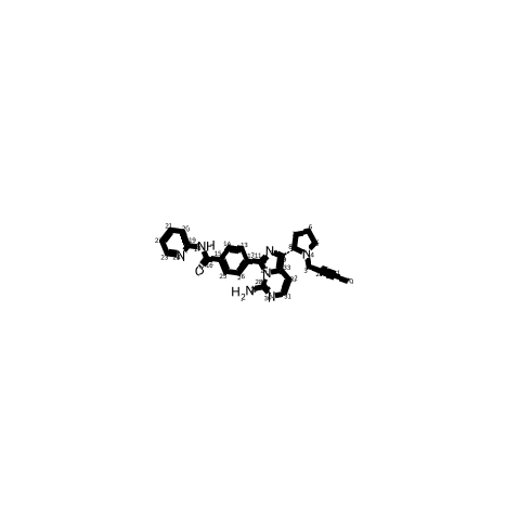 CC#CCN1CCC[C@H]1c1nc(-c2ccc(C(=O)Nc3ccccn3)cc2)n2c(N)nccc12